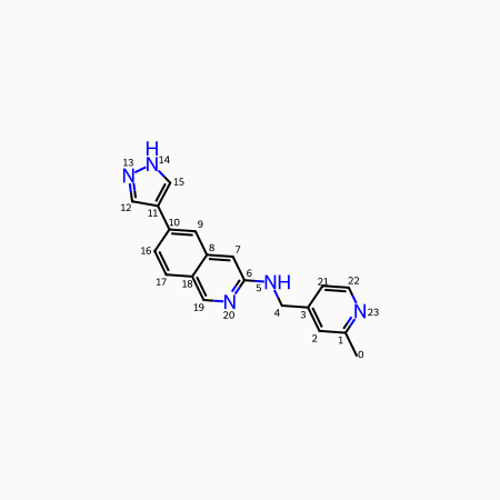 Cc1cc(CNc2cc3cc(-c4cn[nH]c4)ccc3cn2)ccn1